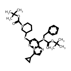 CC(C)(C)OC(=O)N1CCCC(Sc2cc(N(Cc3ccccc3)C(=O)OC(C)(C)C)c3ncc(C4CC4)n3n2)C1